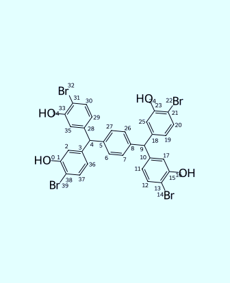 Oc1cc(C(c2ccc(C(c3ccc(Br)c(O)c3)c3ccc(Br)c(O)c3)cc2)c2ccc(Br)c(O)c2)ccc1Br